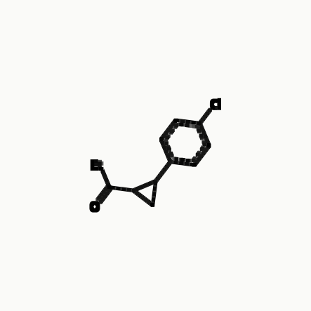 CCC(=O)C1CC1c1ccc(Cl)cc1